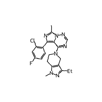 CCc1nn(C)c2c1CN(c1ncnn3c(C)nc(-c4ccc(F)cc4Cl)c13)CC2